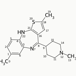 Cc1ccc2c(c1)N=C(C1CCN(C)CC1)c1cc(C)sc1N2